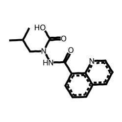 CC(C)CN(NC(=O)c1cccc2cccnc12)C(=O)O